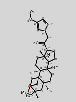 COCC[C@]12CC[C@@](C)(O)C[C@@H]1CC[C@H]1[C@@H]3CC[C@H](C(=O)Cn4cc(OC(C)C)cn4)[C@@]3(C)CC[C@@H]12